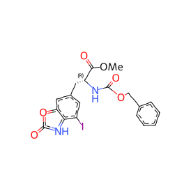 COC(=O)[C@@H](Cc1cc(I)c2[nH]c(=O)oc2c1)NC(=O)OCc1ccccc1